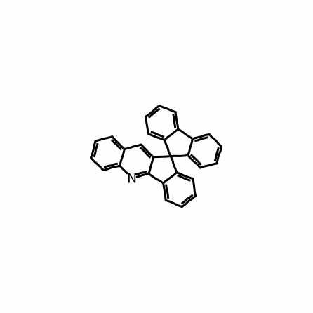 c1ccc2c(c1)-c1ccccc1C21c2ccccc2-c2nc3ccccc3cc21